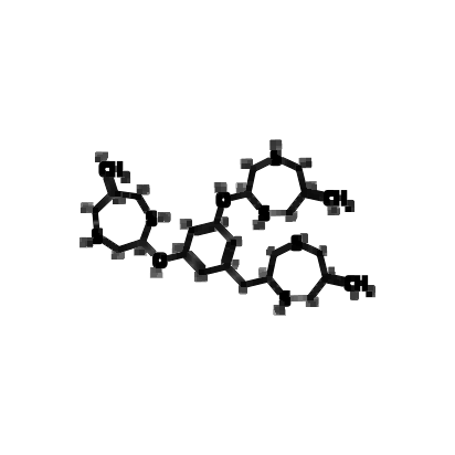 C=C1CSCC(Cc2cc(OC3CSCC(=C)CS3)cc(OC3CSCC(=C)CS3)c2)SC1